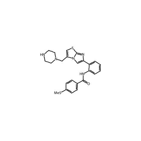 CSc1ccc(C(=O)Nc2ccccc2-c2cn3c(CN4CCNCC4)csc3n2)cc1